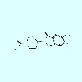 CC(C)Oc1cc2c(cc1[N+](=O)[O-])C(=O)N(C1CCN(C(=O)OC(C)(C)C)CC1)C2